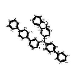 c1ccc(-c2ccc(-c3cccc(N(c4ccc(-c5ccccc5)cc4)c4ccc5oc6ccccc6c5n4)c3)cc2)cc1